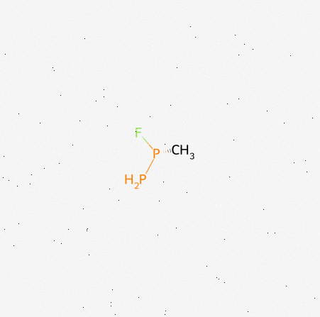 C[P@@](F)P